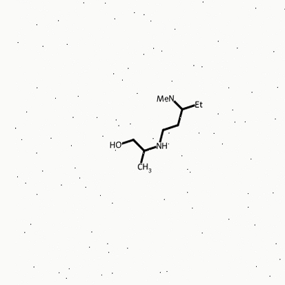 CCC(CCNC(C)CO)NC